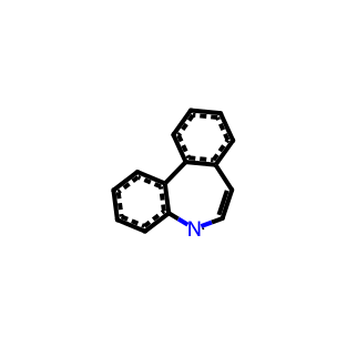 C1=Cc2ccccc2-c2ccccc2[N]1